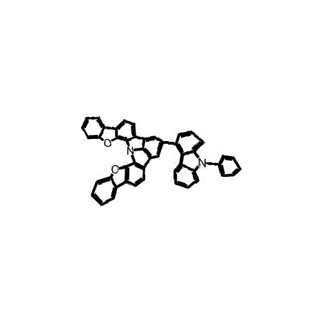 c1ccc(-n2c3ccccc3c3c(-c4cc5c6ccc7c8ccccc8oc7c6n6c5c(c4)c4ccc5c7ccccc7oc5c46)cccc32)cc1